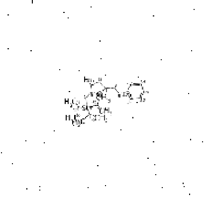 CC(C)[Si](CC1OC(CCc2ccccc2)CC1F)(C(C)C)C(C)C